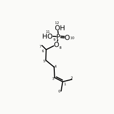 CC(C)=CCCC(C)OP(=O)(O)O